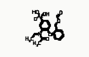 CCN(C(C)=O)c1cc([As](=O)(O)O)ccc1O.O=COCc1ccccc1